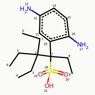 CCC(CC)(CC)C(CC)(c1cc(N)ccc1N)S(=O)(=O)O